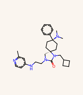 Cc1cc(NCCN2C[C@]3(CC[C@](c4ccccc4)(N(C)C)CC3)N(CC3CCC3)C2=O)ccn1